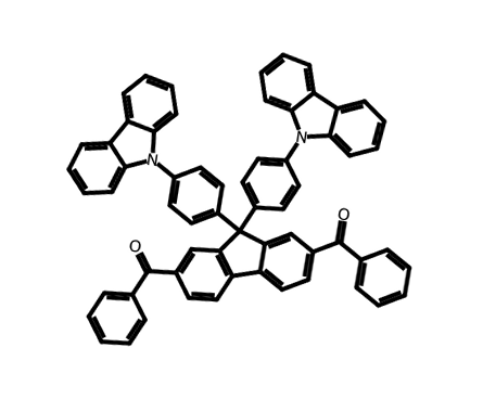 O=C(c1ccccc1)c1ccc2c(c1)C(c1ccc(-n3c4ccccc4c4ccccc43)cc1)(c1ccc(-n3c4ccccc4c4ccccc43)cc1)c1cc(C(=O)c3ccccc3)ccc1-2